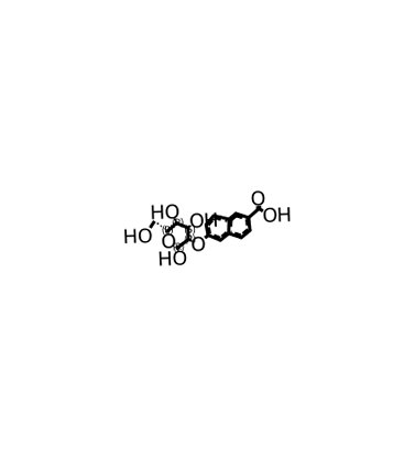 O=C(O)c1ccc2cc(O[C@@H]3[C@@H](O)[C@@H](O)[C@@H](CO)O[C@H]3O)ccc2c1